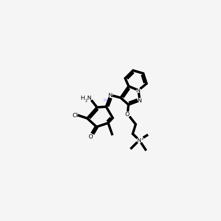 CC1=C/C(=N\c2c(OCC[N+](C)(C)C)nn3ccccc23)C(N)=C(Cl)C1=O